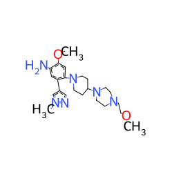 COCCN1CCN(C2CCN(c3cc(OC)c(N)cc3-c3cnn(C)c3)CC2)CC1